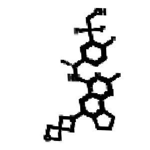 Cc1nc(N[C@H](C)c2ccc(F)c(C(F)(F)CO)c2)c2cc(N3CC4(COC4)C3)c3c(c2n1)CCC3